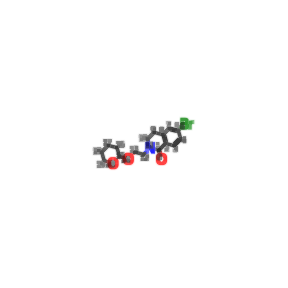 O=C1c2ccc(Br)cc2CCN1CCOC1CCCCO1